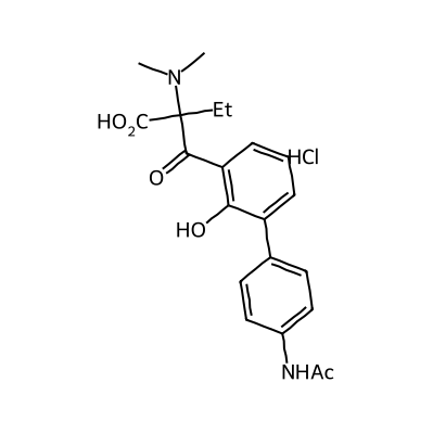 CCC(C(=O)O)(C(=O)c1cccc(-c2ccc(NC(C)=O)cc2)c1O)N(C)C.Cl